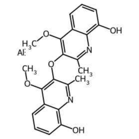 COc1c(Oc2c(C)nc3c(O)cccc3c2OC)c(C)nc2c(O)cccc12.[Al]